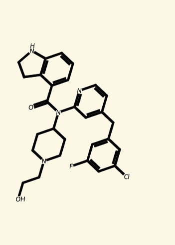 O=C(c1cccc2c1CCN2)N(c1cc(Cc2cc(F)cc(Cl)c2)ccn1)C1CCN(CCO)CC1